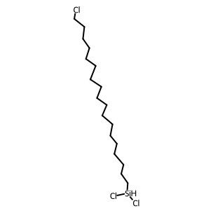 ClCCCCCCCCCCCCCCCCCC[SiH](Cl)Cl